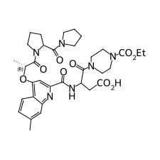 CCOC(=O)N1CCN(C(=O)C(CC(=O)O)NC(=O)c2cc(O[C@H](C)C(=O)N3CCCC3C(=O)N3CCCC3)c3ccc(C)cc3n2)CC1